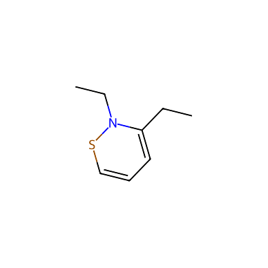 CCC1=CC=CSN1CC